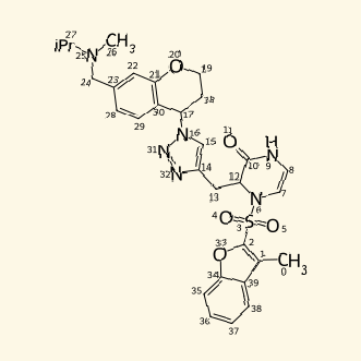 Cc1c(S(=O)(=O)N2C=CNC(=O)C2Cc2cn(C3CCOc4cc(CN(C)C(C)C)ccc43)nn2)oc2ccccc12